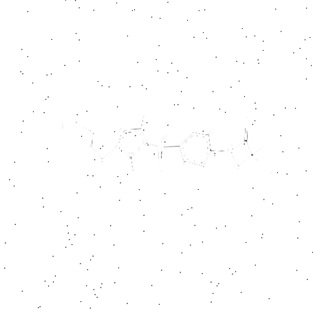 CCc1nn(C[C@H](C)NC(=O)O)c(CC)c1S(=O)(=O)c1ccc(N2CC(C)(C)C2=O)cc1